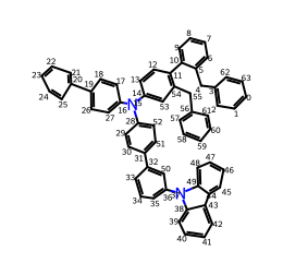 c1ccc(Cc2ccccc2-c2ccc(N(c3ccc(-c4ccccc4)cc3)c3ccc(-c4cccc(-n5c6ccccc6c6ccccc65)c4)cc3)cc2Cc2ccccc2)cc1